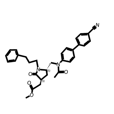 COC(=O)C[C@@H]1C[C@@H](CN(C(C)=O)c2ccc(-c3ccc(C#N)cc3)cc2)N(CCCc2ccccc2)C1=O